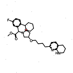 COC(=O)C(c1cc(F)ccc1C1CCCCO1)N1CCC(OCCCCc2ccc3c(n2)NCCC3)C1